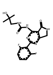 CC(C)(O)CNC(=O)Nc1nc(-c2c(F)cccc2F)nc2c1C(=O)NC2